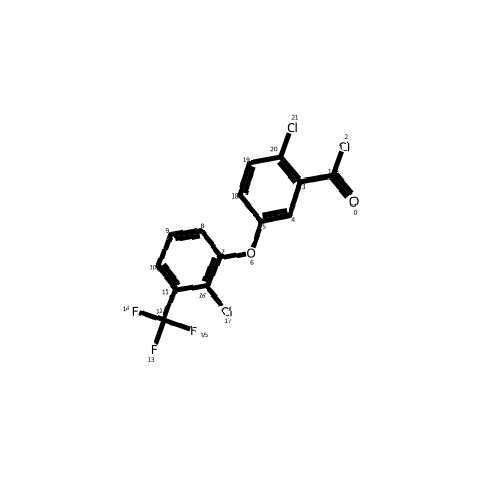 O=C(Cl)c1cc(Oc2cccc(C(F)(F)F)c2Cl)ccc1Cl